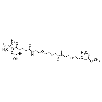 COC(COCCOCCNC(=O)COCCOCCNC(=O)CCC(NC(=O)O)C(=O)OC(C)(C)C)OC